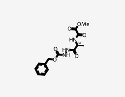 COC(=O)C(=O)N[C@@H](C)C(=O)NNC(=O)OCc1ccccc1